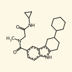 CN(CC(=O)NC1CC1)C(=O)c1ccc2[nH]c3c(c2c1)CC(C1CCCCC1)CC3